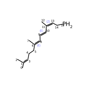 CC(C)=CCC/C(C)=C/C=C/C(C)=C\CP